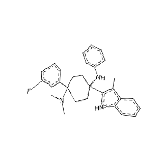 Cc1c(C2(Nc3ccccc3)CCC(c3cccc(F)c3)(N(C)C)CC2)[nH]c2ccccc12